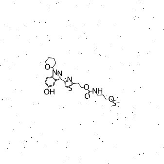 CSOCCCNC(=O)OCCc1nc(-c2nn(C3CCCCO3)c3ccc(O)cc23)cs1